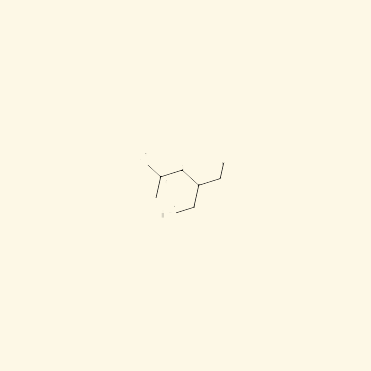 CC(C)CC(CC(C)C)CC(C)C(C)C